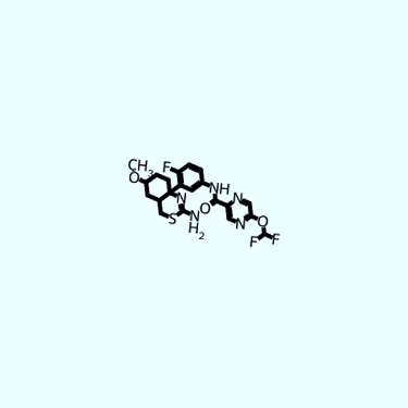 COC1CCC2(c3cc(NC(=O)c4cnc(OC(F)F)cn4)ccc3F)N=C(N)SCC2C1